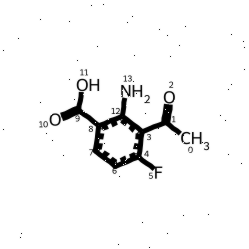 CC(=O)c1c(F)ccc(C(=O)O)c1N